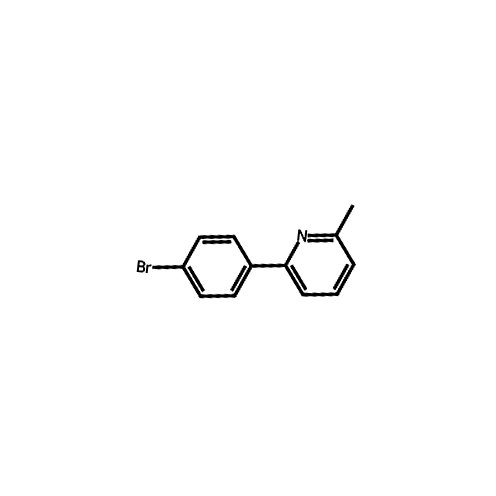 Cc1cccc(-c2ccc(Br)cc2)n1